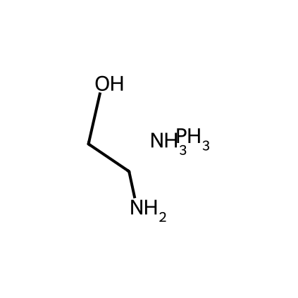 N.NCCO.P